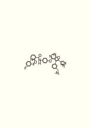 CN(C)Cc1cccc(-c2c(-c3cnn(C)c3)oc3ncnc(Oc4ccc(NC(=O)c5cccn(-c6ccc(F)cc6F)c5=O)cc4)c23)c1